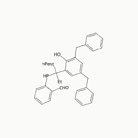 CCCCCC(CC)(Pc1ccccc1C=O)c1cc(Cc2ccccc2)cc(Cc2ccccc2)c1O